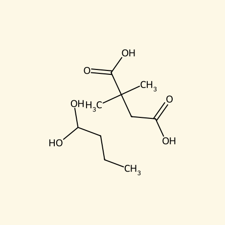 CC(C)(CC(=O)O)C(=O)O.CCCC(O)O